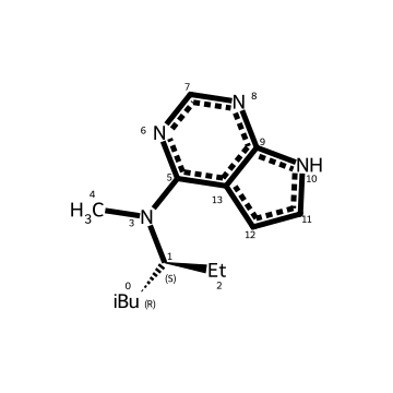 CC[C@@H](C)[C@H](CC)N(C)c1ncnc2[nH]ccc12